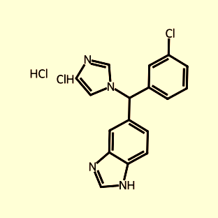 Cl.Cl.Clc1cccc(C(c2ccc3[nH]cnc3c2)n2ccnc2)c1